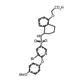 COc1ccc(Oc2ncc(S(=O)(=O)NC3CCCc4c(OCC(=O)O)cccc43)cc2Br)cc1